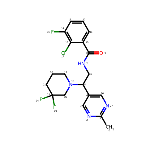 Cc1ncc(C(CNC(=O)c2cccc(F)c2Cl)N2CCCC(F)(F)C2)cn1